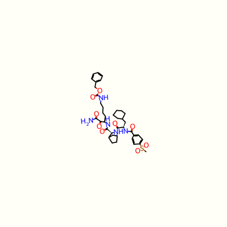 CS(=O)(=O)c1ccc(C(=O)N[C@H](CC2CCCCC2)C(=O)N2C3CCC(C3)[C@H]2C(=O)NC(CCCCNC(=O)OCc2ccccc2)C(=O)C(N)=O)cc1